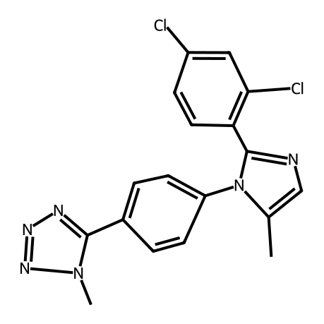 Cc1cnc(-c2ccc(Cl)cc2Cl)n1-c1ccc(-c2nnnn2C)cc1